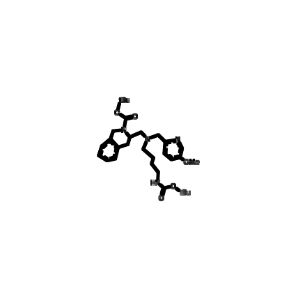 COc1ccc(CN(CCCCNC(=O)OC(C)(C)C)CC2Cc3ccccc3CN2C(=O)OC(C)(C)C)nc1